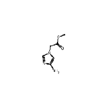 COC(=O)Cn1cnc(N)c1